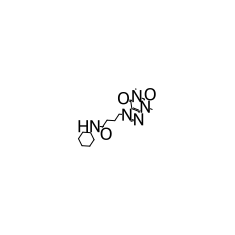 Cn1c(=O)c2c(ncn2CCCC(=O)NC2CCCCC2)n(C)c1=O